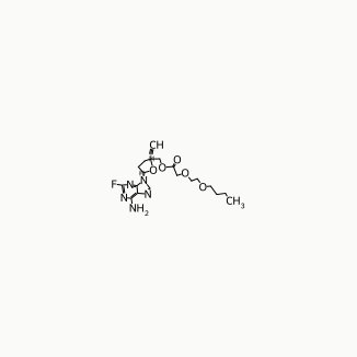 C#C[C@@]1(COC(=O)COCCOCCCC)CC[C@H](n2cnc3c(N)nc(F)nc32)O1